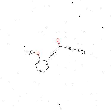 CC#CC(=O)C#Cc1ccccc1OC